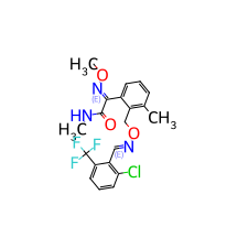 CNC(=O)/C(=N/OC)c1cccc(C)c1CO/N=C/c1c(Cl)cccc1C(F)(F)F